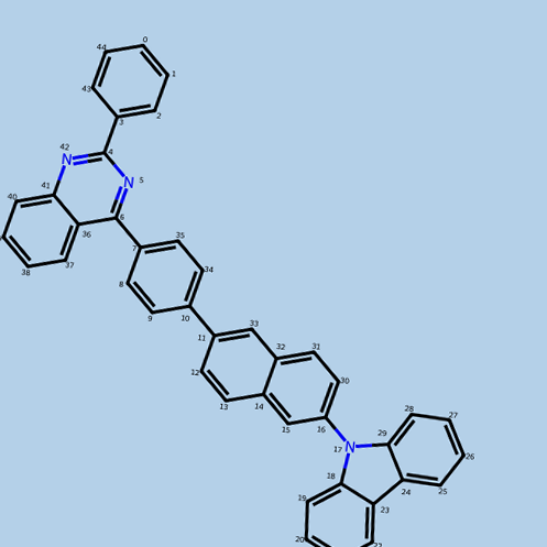 c1ccc(-c2nc(-c3ccc(-c4ccc5cc(-n6c7ccccc7c7ccccc76)ccc5c4)cc3)c3ccccc3n2)cc1